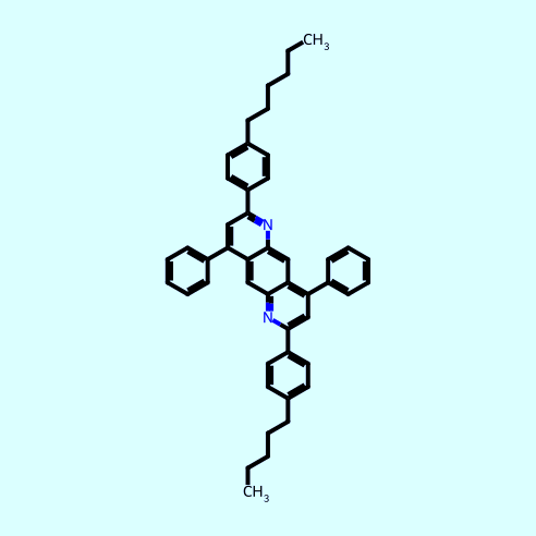 CCCCCCc1ccc(-c2cc(-c3ccccc3)c3cc4nc(-c5ccc(CCCCC)cc5)cc(-c5ccccc5)c4cc3n2)cc1